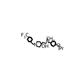 CC(C)Oc1ccc(N(C)CCC2(O)CCN(Cc3ccc(C(F)(F)F)cc3)CC2)cc1